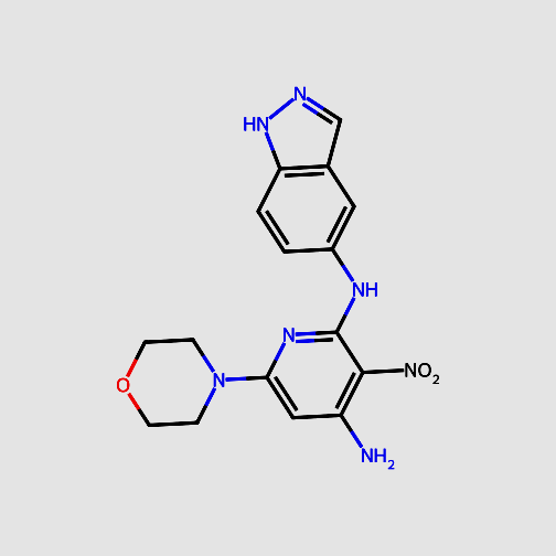 Nc1cc(N2CCOCC2)nc(Nc2ccc3[nH]ncc3c2)c1[N+](=O)[O-]